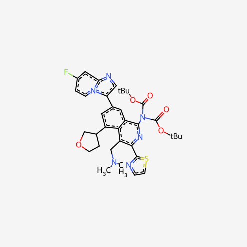 CN(C)Cc1c(-c2nccs2)nc(N(C(=O)OC(C)(C)C)C(=O)OC(C)(C)C)c2cc(-c3cnc4cc(F)ccn34)cc(C3CCOC3)c12